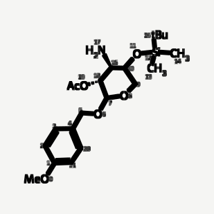 COc1ccc(COC2OCC(O[Si](C)(C)C(C)(C)C)[C@H](N)[C@H]2OC(C)=O)cc1